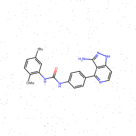 COc1ccc(C(C)(C)C)cc1NC(=O)Nc1ccc(-c2nccc3[nH]nc(N)c23)cc1